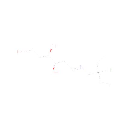 CCC(Cl)(CC)CN=CC[C@@H](O)[C@H](O)CCO